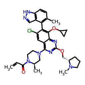 C=CC(=O)N1CCN(c2nc(OC[C@@H]3CCCN3C)nc3c(OC4CC4)c(-c4c(C)ccc5[nH]ncc45)c(Cl)cc23)C[C@H]1C